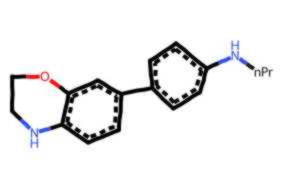 CCCNc1ccc(-c2ccc3c(c2)OCCN3)cc1